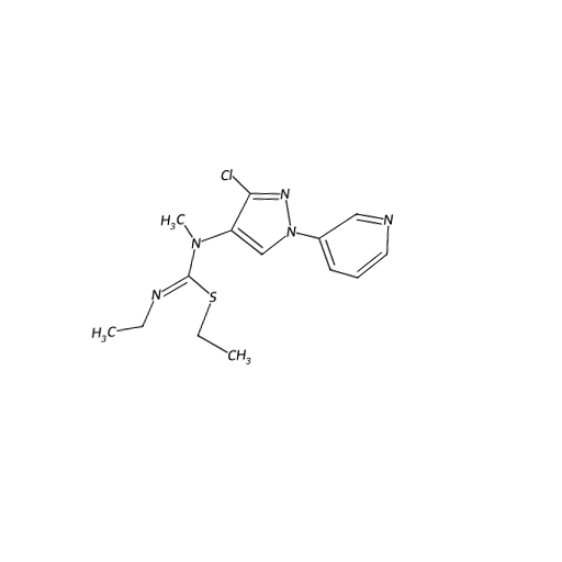 CCN=C(SCC)N(C)c1cn(-c2cccnc2)nc1Cl